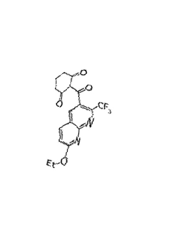 CCOc1ccc2cc(C(=O)C3C(=O)CCCC3=O)c(C(F)(F)F)nc2n1